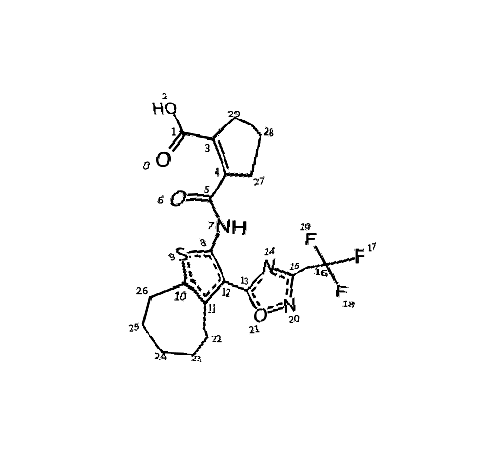 O=C(O)C1=C(C(=O)Nc2sc3c(c2-c2nc(C(F)(F)F)no2)CCCCC3)CCC1